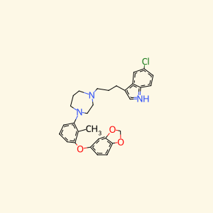 Cc1c(Oc2ccc3c(c2)OCO3)cccc1N1CCCN(CCCc2c[nH]c3ccc(Cl)cc23)CC1